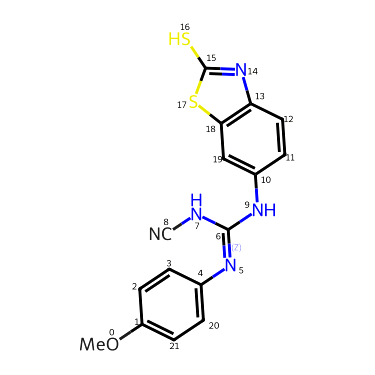 COc1ccc(/N=C(\NC#N)Nc2ccc3nc(S)sc3c2)cc1